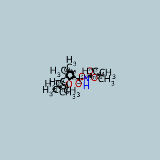 CC1(C)C[C@@H](O[Si](C)(C)C(C)(C)C)[C@H](C(=O)ONC(=O)OC(C)(C)C)C1